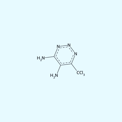 Nc1nnnc(C(Cl)(Cl)Cl)c1N